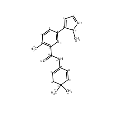 Cc1ccc(-c2ccnn2C)nc1C(=O)NC1=CCC(C)(C)C=C1